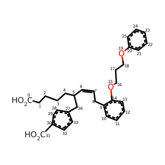 O=C(O)CCCCC(/C=C\Cc1ccccc1OCCCOc1ccccc1)Cc1ccc(C(=O)O)cc1